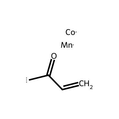 [C]C(=O)C=C.[Co].[Mn]